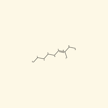 CCCCC/C=C(\C)CC